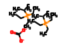 CC[P+](CC)(CC)C(C)C.CC[P+](CC)(CC)C(C)C.O=C([O-])[O-]